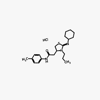 CCCN1C(=NC2CCCCC2)SCC1CC(=O)Nc1ccc(C)cc1.Cl